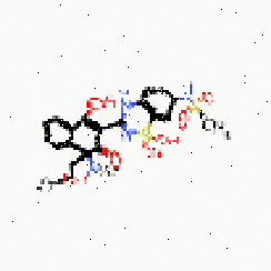 CC(=O)N(O)C1(CCC(C)C)C(=O)C(C2=NS(O)(O)c3cc(NS(C)(=O)=O)ccc3N2)=C(O)c2ccccc21